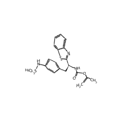 C=C(C)OC(=O)N[C@@H](Cc1ccc(NS(=O)(=O)O)cc1)c1nc2ccccc2s1